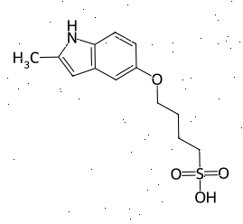 Cc1cc2cc(OCCCCS(=O)(=O)O)ccc2[nH]1